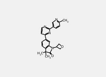 Cc1ccc(-c2nccc(-c3ccc4c(c3)N(C3COC3)C(=O)C4(C)C)n2)cn1